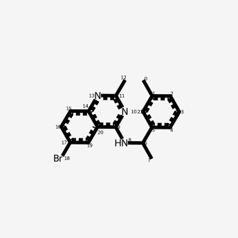 Cc1cccc(C(C)Nc2nc(C)nc3ccc(Br)cc23)c1